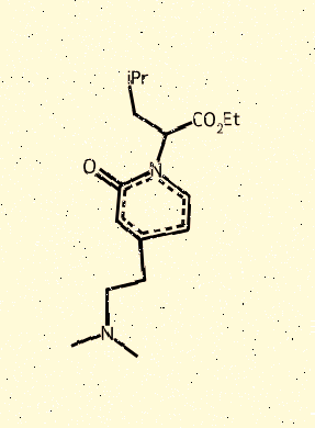 CCOC(=O)C(CC(C)C)n1ccc(CCN(C)C)cc1=O